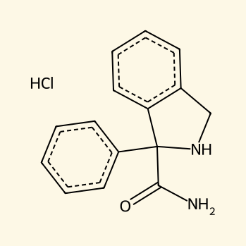 Cl.NC(=O)C1(c2ccccc2)NCc2ccccc21